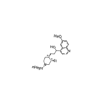 CCCCCCCN1CC[C@@H](CCC(O)c2ccnc3ccc(OC)cc23)[C@@H](CC)C1